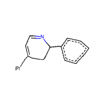 CC(C)C1=CC=NC(c2ccccc2)C1